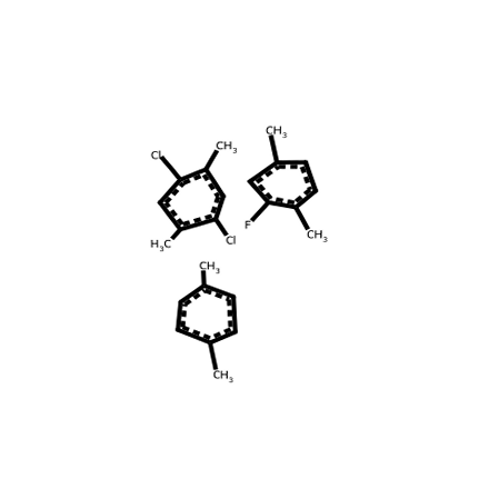 Cc1cc(Cl)c(C)cc1Cl.Cc1ccc(C)c(F)c1.Cc1ccc(C)cc1